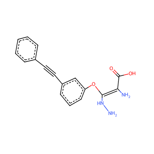 NN/C(Oc1cccc(C#Cc2ccccc2)c1)=C(\N)C(=O)O